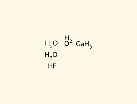 F.O.O.O.[GaH3]